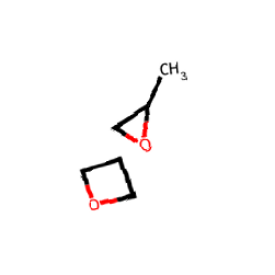 C1COC1.CC1CO1